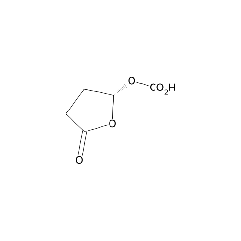 O=C(O)O[C@H]1CCC(=O)O1